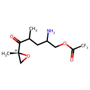 CC(CC(N)COC(=O)C(F)(F)F)C(=O)[C@@]1(C)CO1